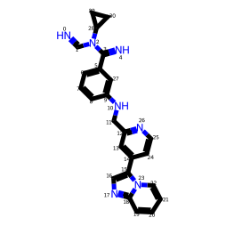 N=CN(C(=N)c1cccc(NCc2cc(-c3cnc4ccccn34)ccn2)c1)C1CC1